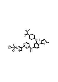 CN(C)C(=O)C1CCC(Nc2cc(Nc3ccnc(-c4cnn(S(=O)(=O)C5CC5)c4)n3)ncc2-c2ccn(C)n2)CC1